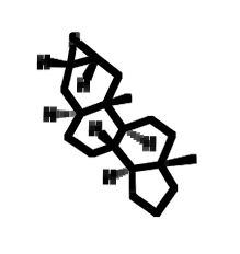 C[C@@]12CCC[C@H]1[C@@H]1CC[C@H]3C[C@@H]4S[C@@H]4C[C@]3(C)[C@H]1CC2